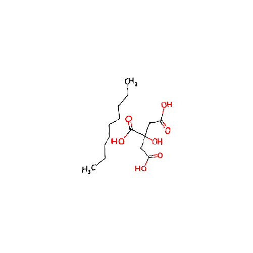 CCCCCCCCC.O=C(O)CC(O)(CC(=O)O)C(=O)O